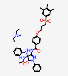 CC(=O)NC1(Nc2ccccc2)C(=O)N(c2ccccc2)N=C1NC(=O)c1ccc(OCCCS(=O)(=O)c2cc(C)c(C)c(C)c2)cc1.CCNCC